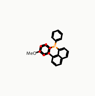 COc1cccc(-c2cccc3cccc(P(c4ccccc4)c4ccccc4)c23)c1